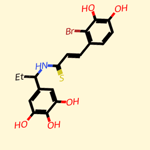 CCC(NC(=S)/C=C/c1ccc(O)c(O)c1Br)c1cc(O)c(O)c(O)c1